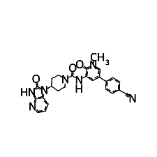 Cn1cc(-c2ccc(C#N)cc2)cc(NC(=O)N2CCC(n3c(=O)[nH]c4ncccc43)CC2)c1=O